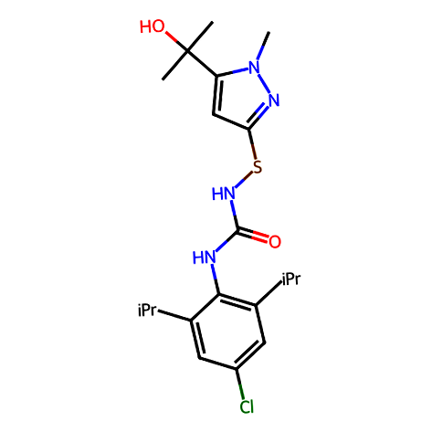 CC(C)c1cc(Cl)cc(C(C)C)c1NC(=O)NSc1cc(C(C)(C)O)n(C)n1